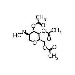 CC(=O)OC[C@H]1OC/C(=N\O)[C@@H](OC(C)=O)[C@@H]1OC(C)=O